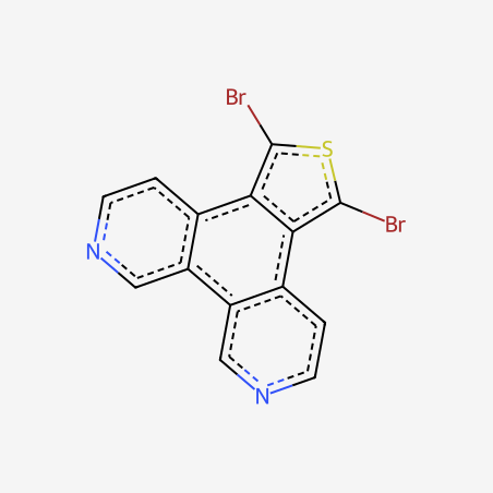 Brc1sc(Br)c2c3ccncc3c3cnccc3c12